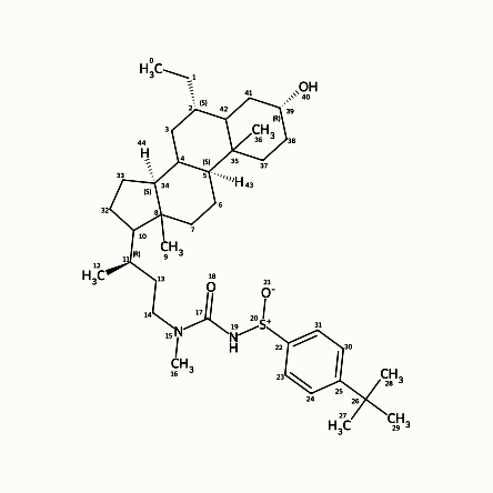 CC[C@H]1CC2[C@H](CCC3(C)C([C@H](C)CCN(C)C(=O)N[S+]([O-])c4ccc(C(C)(C)C)cc4)CC[C@@H]23)C2(C)CC[C@@H](O)CC12